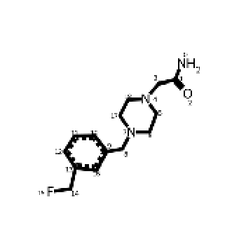 NC(=O)CN1CCN(Cc2cccc(CF)c2)CC1